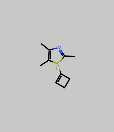 CC1=NC(C)=C(C)[SH]1C1=CCC1